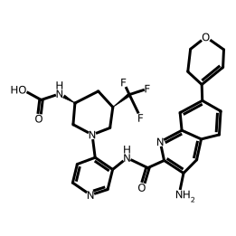 Nc1cc2ccc(C3=CCOCC3)cc2nc1C(=O)Nc1cnccc1N1C[C@@H](NC(=O)O)C[C@@H](C(F)(F)F)C1